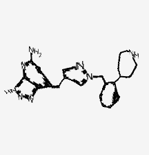 Nc1cc(Cc2cnn(Cc3ccccc3C3CCNCC3)c2)c2nn[nH]c2n1